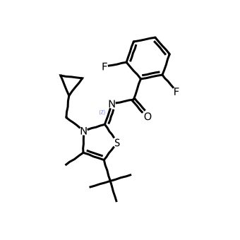 Cc1c(C(C)(C)C)s/c(=N\C(=O)c2c(F)cccc2F)n1CC1CC1